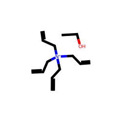 C=CC[N+](CC=C)(CC=C)CC=C.CCO